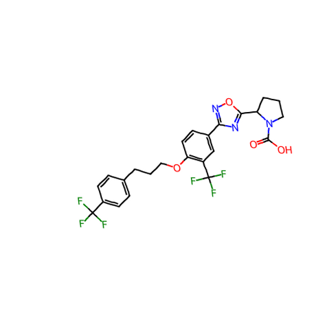 O=C(O)N1CCCC1c1nc(-c2ccc(OCCCc3ccc(C(F)(F)F)cc3)c(C(F)(F)F)c2)no1